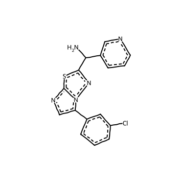 NC(c1cccnc1)c1nn2c(-c3cccc(Cl)c3)cnc2s1